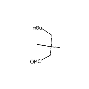 CCCCCC(C)(C)CC=O